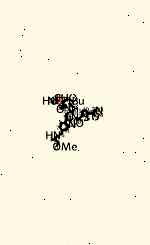 COCC(C)NCc1ccc2c(c1)nc(NC(=O)c1ccc(-c3cnco3)s1)n2CC1CCCN1C(=O)C(C#N)=CC(C)(C)C.O=CO